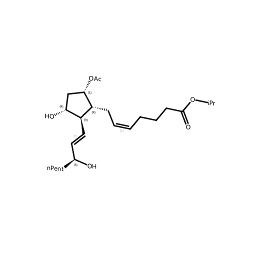 CCCCC[C@H](O)/C=C/[C@@H]1[C@@H](C/C=C\CCCC(=O)OC(C)C)[C@@H](OC(C)=O)C[C@H]1O